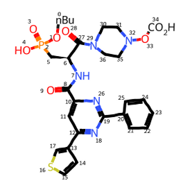 CCCCOP(=O)(O)C[C@H](NC(=O)c1cc(-c2ccsc2)nc(-c2ccccc2)n1)C(=O)N1CCN(OC(=O)O)CC1